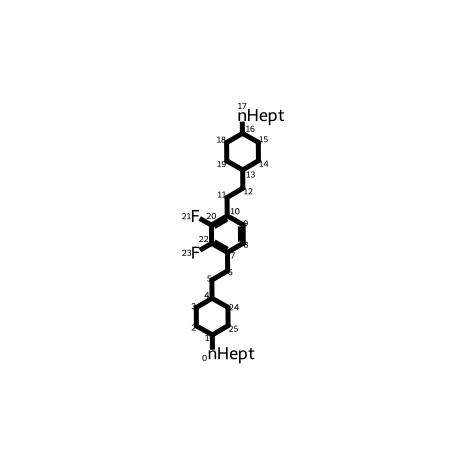 CCCCCCCC1CCC(CCc2ccc(CCC3CCC(CCCCCCC)CC3)c(F)c2F)CC1